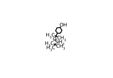 CC(C)(C)[SiH2]OC(C)(C)C1CCC(O)CC1